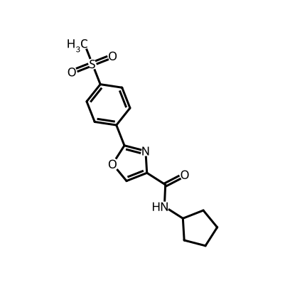 CS(=O)(=O)c1ccc(-c2nc(C(=O)NC3CCCC3)co2)cc1